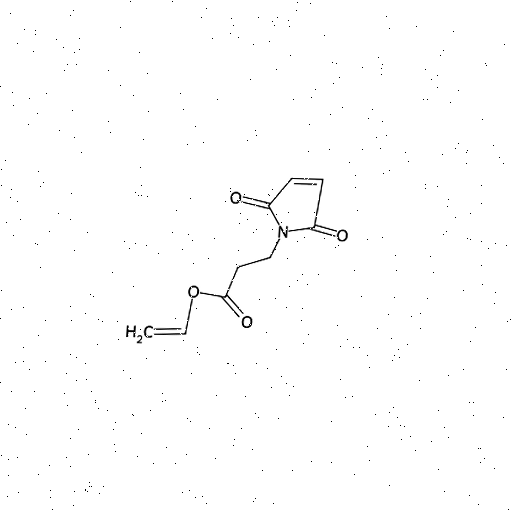 C=COC(=O)CCN1C(=O)C=CC1=O